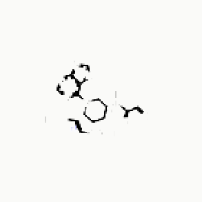 C=CC(=O)N[C@@H]1CCCN(c2ncnc3[nH]cnc23)C1.O=C(O)/C=C/C(=O)O